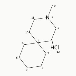 CN1CCC2(CCCCC2)CC1.Cl